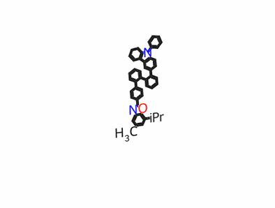 Cc1cc(C(C)C)c2oc(-c3ccc(-c4ccccc4-c4ccccc4-c4ccc5c(c4)c4c(n5-c5ccccc5)CCC=C4)cc3)nc2c1